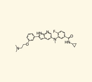 CN(C)CCOc1cccc(-c2cc3cc(N(C)c4cc(C(=O)NC5CC5)ccc4F)cnc3[nH]2)c1